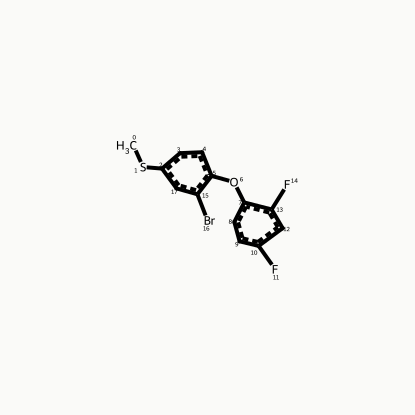 CSc1ccc(Oc2ccc(F)cc2F)c(Br)c1